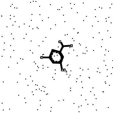 Clc1cc(C(Cl)Cl)cc(C(Cl)(Cl)Cl)c1